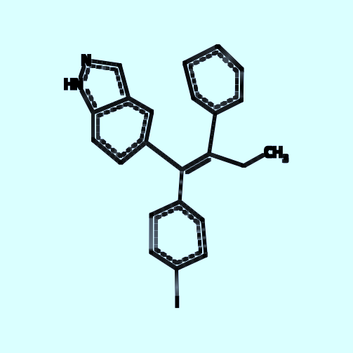 CCC(=C(c1ccc(I)cc1)c1ccc2[nH]ncc2c1)c1ccccc1